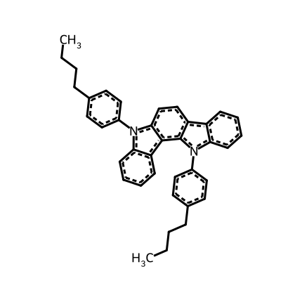 CCCCc1ccc(-n2c3ccccc3c3c2ccc2c4ccccc4n(-c4ccc(CCCC)cc4)c23)cc1